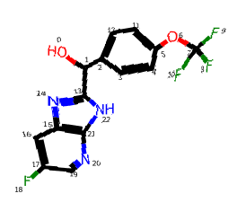 OC(c1ccc(OC(F)(F)F)cc1)c1nc2cc(F)cnc2[nH]1